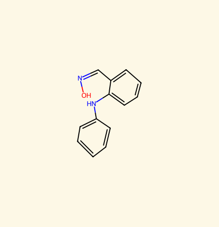 O/N=C\c1ccccc1Nc1ccccc1